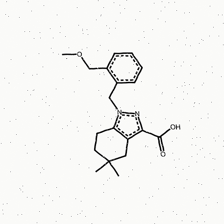 COCc1ccccc1Cn1nc(C(=O)O)c2c1CCC(C)(C)C2